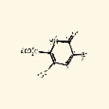 CCOC(=O)c1[nH]c(=O)c(Br)cc1C